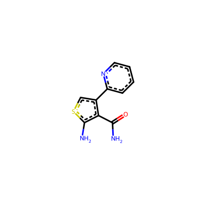 NC(=O)c1c(-c2ccccn2)csc1N